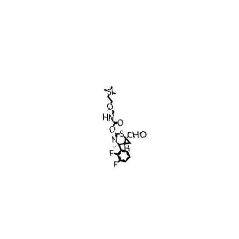 C[C@]1(c2cccc(F)c2F)N=C(OC(=O)NCOCC[Si](C)(C)C)S[C@@]2(C=O)C[C@H]21